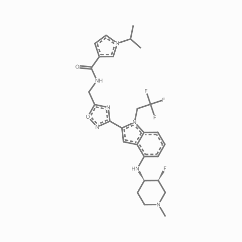 CC(C)n1ccc(C(=O)NCc2nc(-c3cc4c(N[C@@H]5CCN(C)C[C@@H]5F)cccc4n3CC(F)(F)F)no2)c1